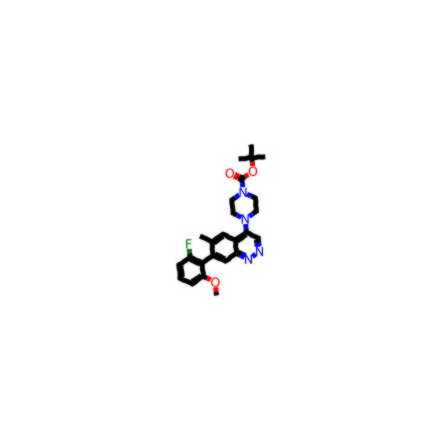 COc1cccc(F)c1-c1cc2nncc(N3CCN(C(=O)OC(C)(C)C)CC3)c2cc1C